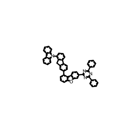 c1ccc(-c2nc(-c3ccccc3)nc(-c3ccc4c(c3)oc3cccc(-c5ccc6c(c5)Cc5c-6cccc5-n5c6ccccc6c6ccccc65)c34)n2)cc1